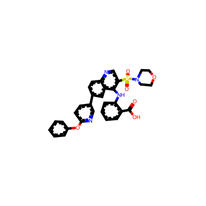 O=C(O)c1ccccc1Nc1c(S(=O)(=O)N2CCOCC2)cnc2ccc(-c3ccc(Oc4ccccc4)nc3)cc12